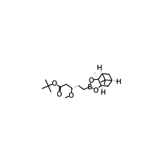 CO[C@@H](CCB1O[C@@H]2C[C@@H]3C[C@@H](C3(C)C)[C@]2(C)O1)CC(=O)OC(C)(C)C